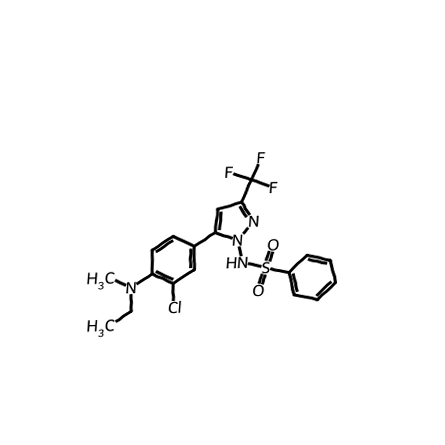 CCN(C)c1ccc(-c2cc(C(F)(F)F)nn2NS(=O)(=O)c2ccccc2)cc1Cl